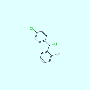 Clc1ccc(C(Cl)c2ccccc2Br)cc1